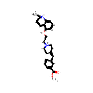 COC(=O)c1cccc(C=C2CCN(CCOc3cccc4nc(C)ccc34)CC2)c1